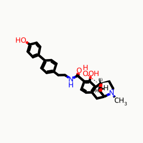 CN1CC[C@]23C[C@@H](O)C=C[C@H]2C1Cc1ccc(C(=O)NCCc2ccc(-c4ccc(O)cc4)cc2)c(O)c13